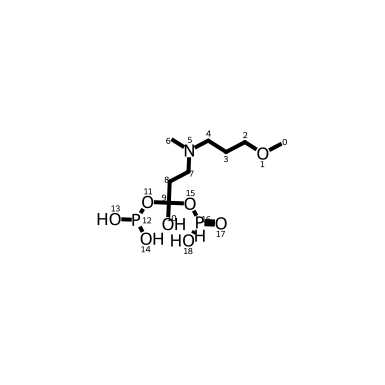 COCCCN(C)CCC(O)(OP(O)O)O[PH](=O)O